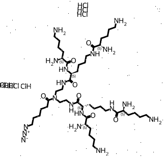 Cl.Cl.Cl.Cl.Cl.Cl.Cl.Cl.[N-]=[N+]=NCCCCCC(=O)N(CCNC(=O)[C@H](CCCCNC(=O)[C@@H](N)CCCCN)NC(=O)[C@@H](N)CCCCN)CCNC(=O)[C@H](CCCCNC(=O)[C@@H](N)CCCCN)NC(=O)[C@@H](N)CCCCN